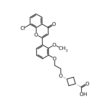 COc1c(OCCO[C@H]2C[C@@H](C(=O)O)C2)cccc1-c1cc(=O)c2cccc(Cl)c2o1